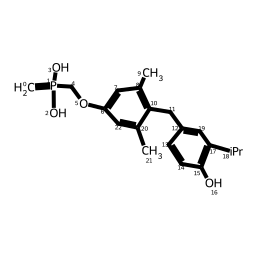 C=P(O)(O)COc1cc(C)c(Cc2ccc(O)c(C(C)C)c2)c(C)c1